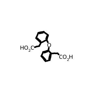 O=C(O)Cc1ccccc1Oc1ccccc1CC(=O)O